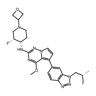 COc1nc(N[C@H]2CCN(C3COC3)C[C@H]2F)nn2ccc(-c3ccc4nnn(C[C@H](C)F)c4c3)c12